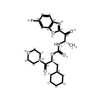 C[C@H](NC(=O)O[C@@H](CC1CCCCC1)C(=O)N1CCOCC1)C(=O)c1nc2ccc(F)cc2o1